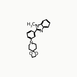 Cn1c(-c2cccc(N3CCC4(CC3)OCCO4)c2)nc2ccccc21